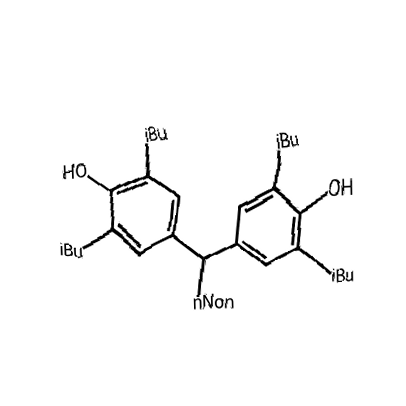 CCCCCCCCCC(c1cc(C(C)CC)c(O)c(C(C)CC)c1)c1cc(C(C)CC)c(O)c(C(C)CC)c1